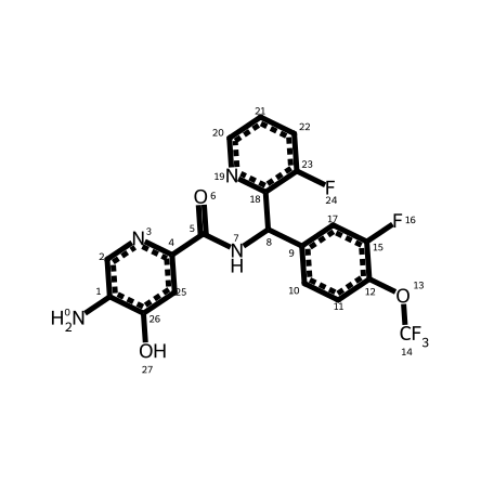 Nc1cnc(C(=O)NC(c2ccc(OC(F)(F)F)c(F)c2)c2ncccc2F)cc1O